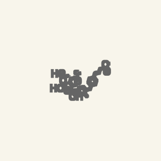 COC(=O)C/C=C/c1ccc(Cc2cc([C@H]3O[C@H](SC)[C@@H](CC(=O)O)[C@H](CC(=O)O)[C@@H]3CC(=O)O)ccc2C)cc1